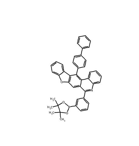 CC1(C)OB(c2cccc(-c3nc4ccccc4c4c(-c5ccc(-c6ccccc6)cc5)c5c(cc34)oc3ccccc35)c2)OC1(C)C